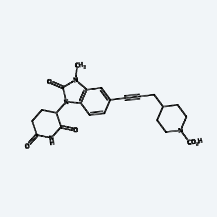 Cn1c(=O)n(C2CCC(=O)NC2=O)c2ccc(C#CCC3CCN(C(=O)O)CC3)cc21